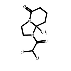 CC12CCCC(=O)N1CCN2C(=O)C(Cl)Cl